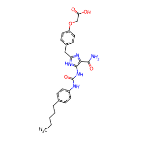 CCCCCc1ccc(NC(=O)Nc2[nH]c(Cc3ccc(OCC(=O)O)cc3)nc2C(N)=O)cc1